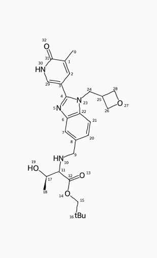 Cc1cc(-c2nc3cc(CNC(C(=O)OCC(C)(C)C)[C@@H](C)O)ccc3n2CC2COC2)c[nH]c1=O